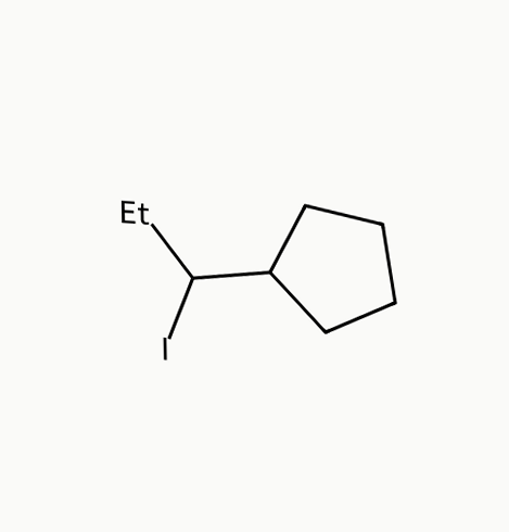 CCC(I)C1CCCC1